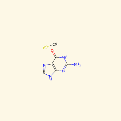 N#CS.Nc1nc2[nH]cnc2c(=O)[nH]1